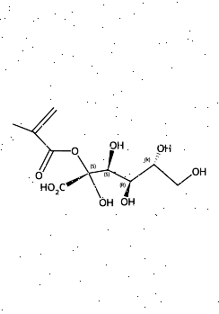 C=C(C)C(=O)O[C@](O)(C(=O)O)[C@@H](O)[C@H](O)[C@H](O)CO